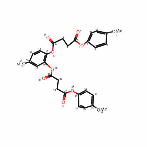 COc1ccc(OC(=O)CCC(=O)Oc2ccc(C)cc2OC(=O)CCC(=O)Oc2ccc(OC)cc2)cc1